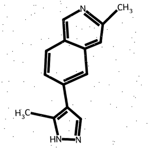 Cc1cc2cc(-c3cn[nH]c3C)ccc2cn1